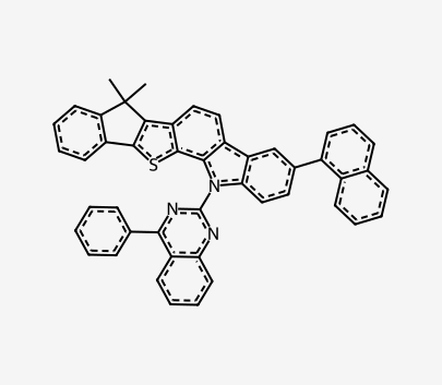 CC1(C)c2ccccc2-c2sc3c(ccc4c5cc(-c6cccc7ccccc67)ccc5n(-c5nc(-c6ccccc6)c6ccccc6n5)c43)c21